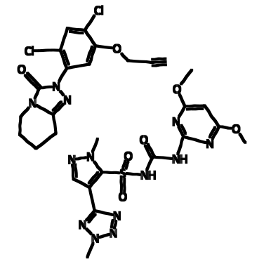 C#CCOc1cc(-n2nc3n(c2=O)CCCC3)c(Cl)cc1Cl.COc1cc(OC)nc(NC(=O)NS(=O)(=O)c2c(-c3nnn(C)n3)cnn2C)n1